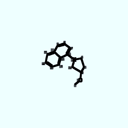 COC1C[CH]N(c2cccc3ccccc23)C1